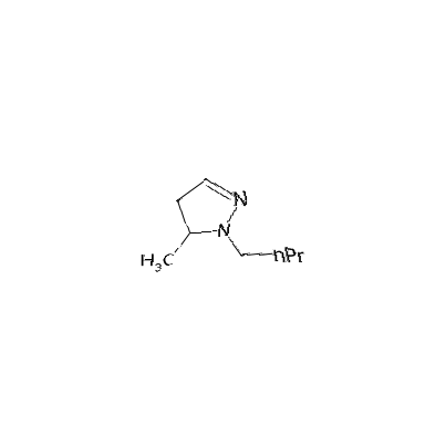 CCCCN1N=CCC1C